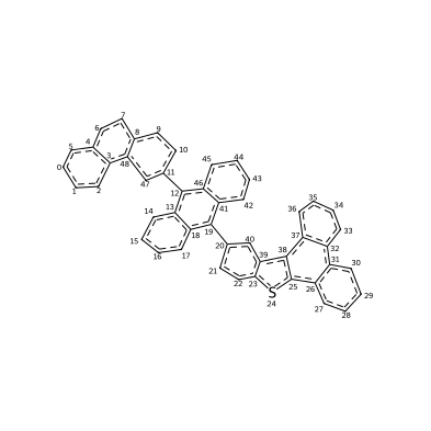 c1ccc2c(c1)ccc1ccc(-c3c4ccccc4c(-c4ccc5sc6c7ccccc7c7ccccc7c6c5c4)c4ccccc34)cc12